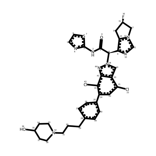 O=C(Nc1nccs1)[C@@H](c1ncn2c1C[C@@H](F)C2)n1cc2c(Cl)cc(-c3ccc(CCCN4CCC(O)CC4)cc3)c(Cl)c2n1